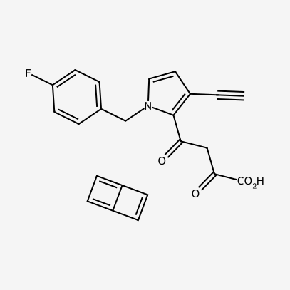 C#Cc1ccn(Cc2ccc(F)cc2)c1C(=O)CC(=O)C(=O)O.c1cc2ccc1-2